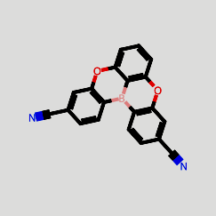 N#Cc1ccc2c(c1)Oc1cccc3c1B2c1ccc(C#N)cc1O3